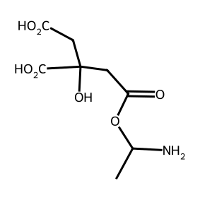 CC(N)OC(=O)CC(O)(CC(=O)O)C(=O)O